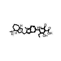 CCc1c(-c2ccc3c(c2)cc(CN2C[C@H]4CCC[C@@H](NC)[C@H]4C2)n3C)[nH]c(=O)c(C(=O)O)c1O